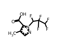 Cc1cnn(C(F)C(F)(F)C(F)F)c1C(=O)O